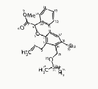 C=CCc1c(OC(C(=O)OC)c2ccccc2)ccc(C(C)(C)C)c1CO[SiH](C)C